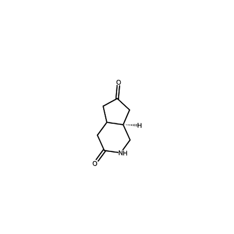 O=C1CC2CC(=O)NC[C@@H]2C1